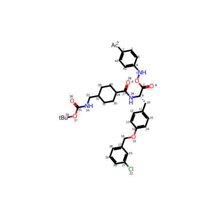 CC(=O)c1ccc(NOC(=O)[C@H](Cc2ccc(OCc3cccc(Cl)c3)cc2)NC(=O)C2CCC(CNC(=O)OC(C)(C)C)CC2)cc1